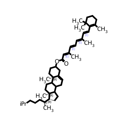 CC1=C(/C=C/C(C)=C/C=C/C(C)=C/C(=O)OC2CC[C@@]3(C)C(=CCC4C3CC[C@@]3(C)C4CC[C@@H]3[C@H](C)CCCC(C)C)C2)C(C)(C)CCC1